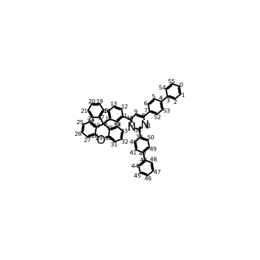 c1ccc(-c2ccc(-c3cc(-c4cccc(C5(c6ccccc6)c6ccccc6Oc6ccccc65)c4)nc(-c4ccc(-c5ccccc5)cc4)n3)cc2)cc1